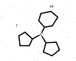 C1CCC([S+](C2CCCC2)C2CCCC2)CC1.I.[I-]